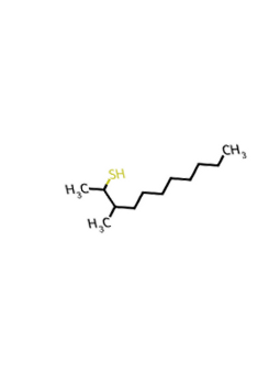 CCCCCCCCC(C)C(C)S